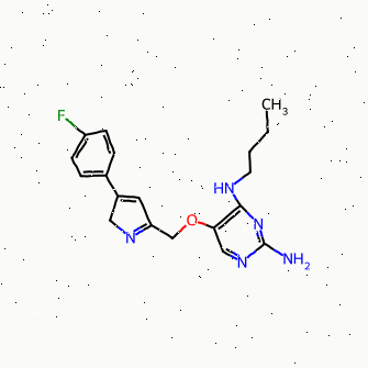 CCCCNc1nc(N)ncc1OCC1=NCC(c2ccc(F)cc2)=C1